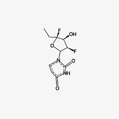 CC[C@@]1(F)OC(n2ccc(=O)[nH]c2=O)[C@H](F)[C@@H]1O